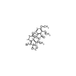 COc1ccc2c(c1OC)C(=O)OC2[C@H]1c2c(c(Br)c3c(c2OC)OCO3)CCN1C